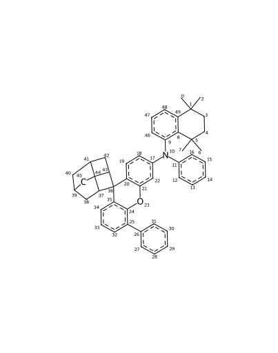 CC1(C)CCC(C)(C)c2c(N(c3ccccc3)c3ccc4c(c3)Oc3c(-c5ccccc5)cccc3C43C4CC5CC6CC3C64C5)cccc21